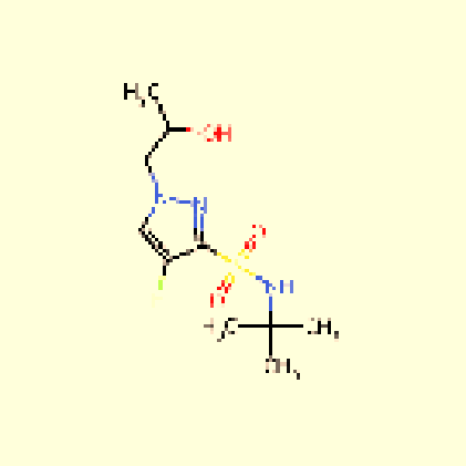 CC(O)Cn1cc(F)c(S(=O)(=O)NC(C)(C)C)n1